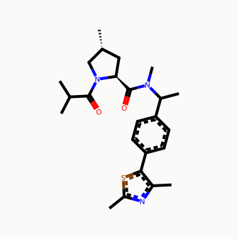 Cc1nc(C)c(-c2ccc(C(C)N(C)C(=O)[C@@H]3C[C@@H](C)CN3C(=O)C(C)C)cc2)s1